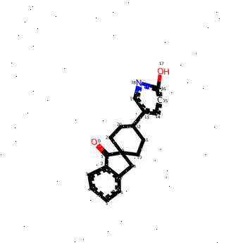 O=C1c2ccccc2CC12CCC(c1ccc(O)nc1)CC2